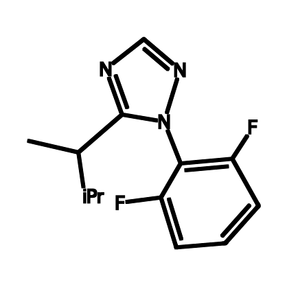 CC(C)C(C)c1ncnn1-c1c(F)cccc1F